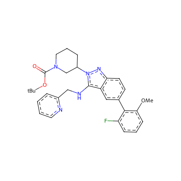 COc1cccc(F)c1-c1ccc2nn(C3CCCN(C(=O)OC(C)(C)C)C3)c(NCc3ccccn3)c2c1